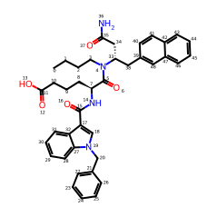 CCCCN(C(=O)[C@H](CCCC(=O)O)NC(=O)c1cn(Cc2ccccc2)c2ccccc12)[C@H](CC(N)=O)Cc1ccc2ccccc2c1